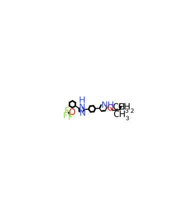 C=CC(C)(C)COC1C=CC(c2ccc(-c3ncc(-c4ccccc4OC(F)(F)F)[nH]3)cc2)=CN1